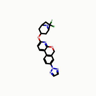 FC1(F)CC2CC(Oc3ccc4c(n3)OCc3cc(-n5nccn5)ccc3-4)CC1N2